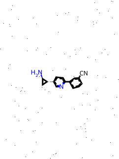 N#Cc1cccc(-c2ccc([C@@H]3C[C@H]3N)cn2)c1